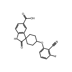 N#Cc1c(F)cccc1OC1CCC2(CC1)C(=O)Nc1ccc(C(=O)O)cc12